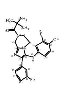 CC(C)(N)C(=O)N1CCn2c(nc(-c3cccc(F)c3)c2Nc2ccc(Cl)c(F)c2)C1